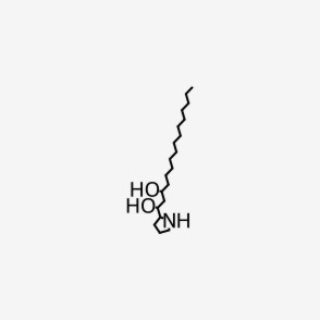 CCCCCCCCCCCCCC(O)CC(O)C1CCCN1